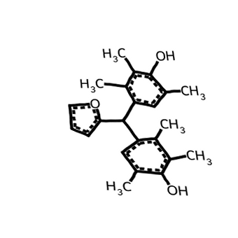 Cc1cc(C(c2ccco2)c2cc(C)c(O)c(C)c2C)c(C)c(C)c1O